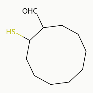 O=CC1CCCCCCCCC1S